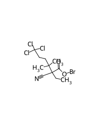 CCC(C#N)(C(=O)OBr)C(C)(C)CCC(Cl)(Cl)Cl